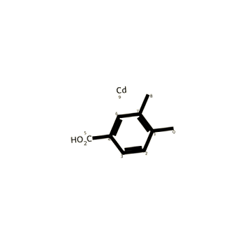 Cc1ccc(C(=O)O)cc1C.[Cd]